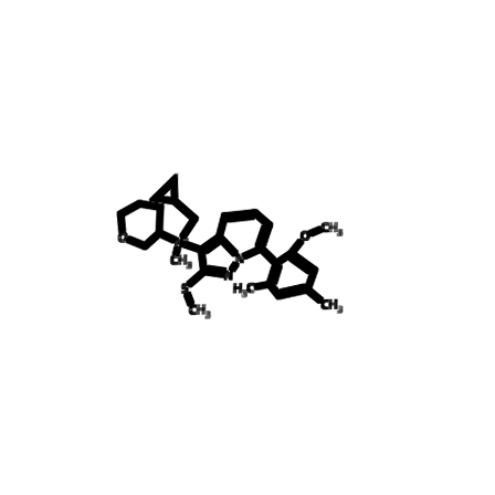 COc1cc(C)cc(C)c1-c1cccc2c([N+](C)(CC3CC3)C3CCCOC3)c(SC)nn12